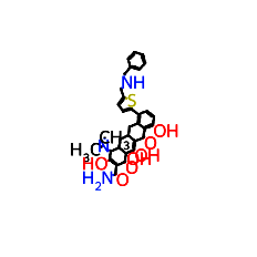 CN(C)C1C(O)=C(C(N)=O)C(=O)C2(O)C(O)=C3C(=O)c4c(O)ccc(-c5ccc(CNCc6ccccc6)s5)c4CC3CC12